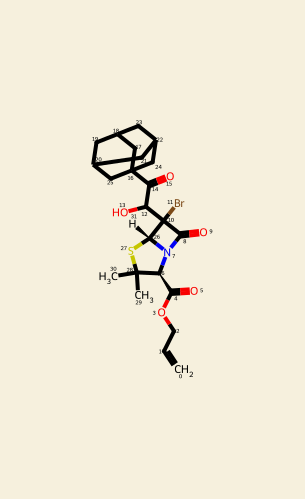 C=CCOC(=O)[C@@H]1N2C(=O)C(Br)(C(O)C(=O)C34CC5CC(CC(C5)C3)C4)[C@H]2SC1(C)C